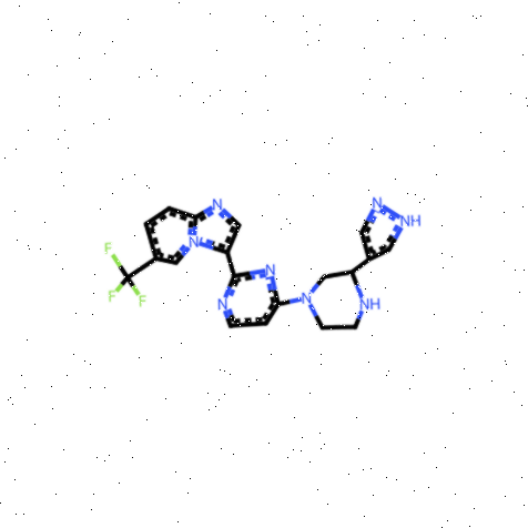 FC(F)(F)c1ccc2ncc(-c3nccc(N4CCNC(c5cn[nH]c5)C4)n3)n2c1